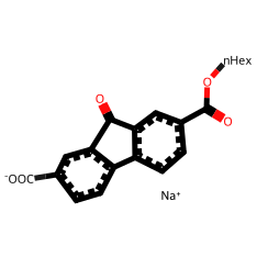 CCCCCCOC(=O)c1ccc2c(c1)C(=O)c1cc(C(=O)[O-])ccc1-2.[Na+]